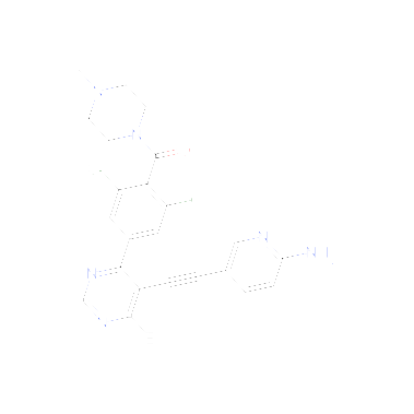 CCc1ncnc(-c2cc(Cl)c(C(=O)N3CCN(C)CC3)c(Cl)c2)c1C#Cc1ccc(N)nc1